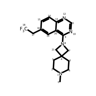 CN1CCC2(CC1)CN(c1ncnc3ccc(CC(F)(F)F)cc13)C2